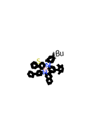 Cc1cc(C(C)(C)C)ccc1N1c2cc3sc4ccccc4c3cc2B2c3c(cc(-c4c(C)cccc4C)cc31)-c1cc3ccccc3cc1N2c1ccc(-c2ccccc2)cc1